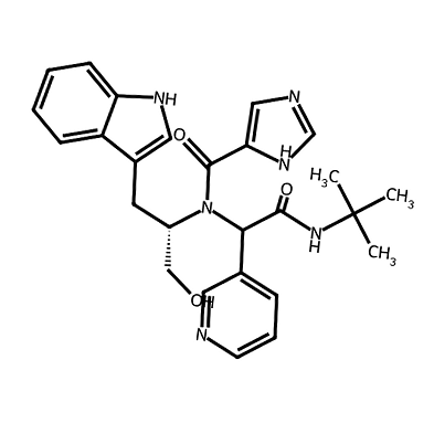 CC(C)(C)NC(=O)C(c1cccnc1)N(C(=O)c1cnc[nH]1)[C@H](CO)Cc1c[nH]c2ccccc12